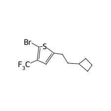 FC(F)(F)c1cc(CCC2CCC2)sc1Br